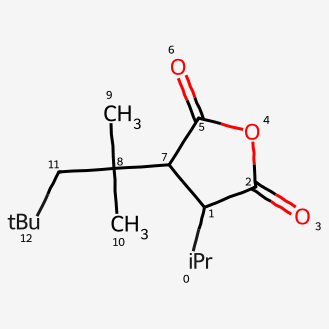 CC(C)C1C(=O)OC(=O)C1C(C)(C)CC(C)(C)C